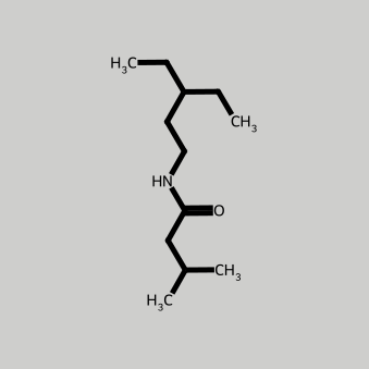 CCC(CC)CCNC(=O)CC(C)C